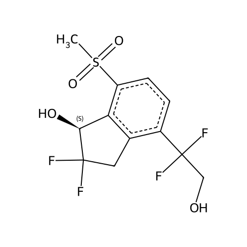 CS(=O)(=O)c1ccc(C(F)(F)CO)c2c1[C@H](O)C(F)(F)C2